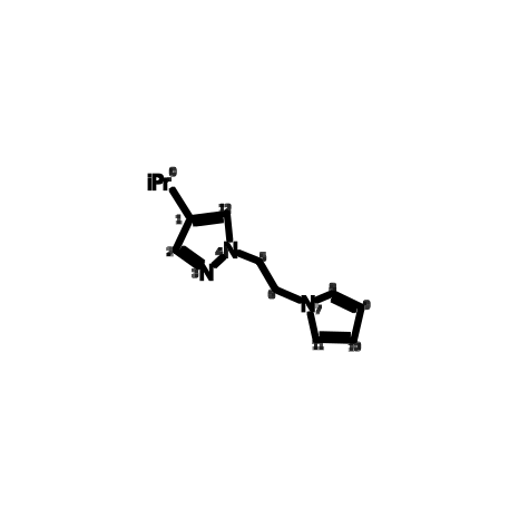 CC(C)c1cnn(CCn2cccc2)c1